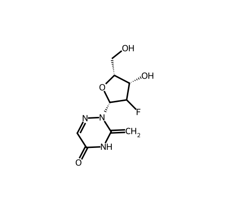 C=C1NC(=O)C=NN1[C@@H]1O[C@H](CO)[C@H](O)C1F